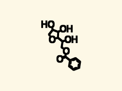 O=C(OCC(O)C1OCC(O)C1O)c1ccccc1